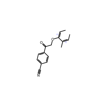 C/C=C(C)\C(=C/C)OCC(=O)c1ccc(C#N)cc1